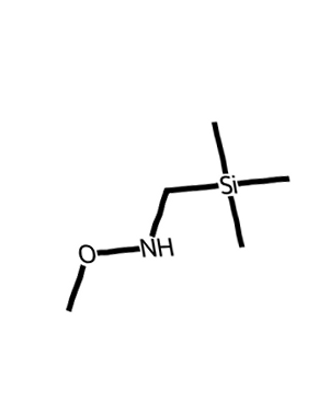 CONC[Si](C)(C)C